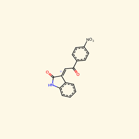 O=C1Nc2ccccc2/C1=C\C(=O)c1ccc([N+](=O)[O-])cc1